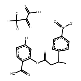 CC(CC(=O)Oc1cc(Cl)ccc1C(=O)O)c1ccc([N+](=O)[O-])cc1.O=C(O)C(=O)C(Cl)(Cl)Cl